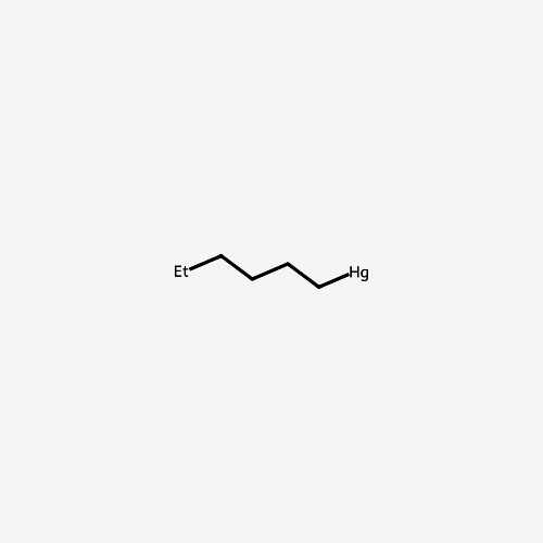 CCCCC[CH2][Hg]